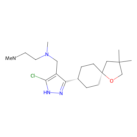 CNCCN(C)Cc1c(Cl)[nH]nc1[C@H]1CC[C@]2(CC1)CC(C)(C)CO2